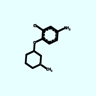 CN1CCCC(Oc2ccc(N)cc2Cl)C1